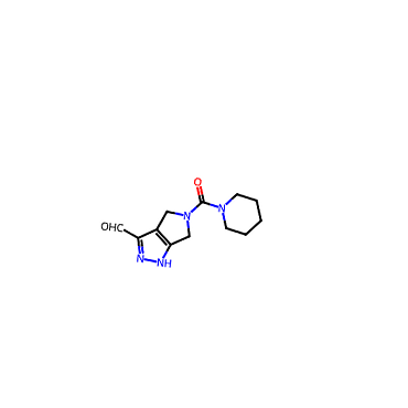 O=Cc1n[nH]c2c1CN(C(=O)N1CCCCC1)C2